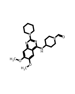 COc1cc2nc(N3CCCCC3)nc(NC3CCN(C=O)CC3)c2cc1OC